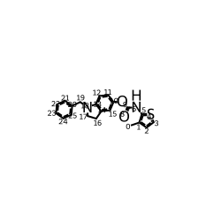 Cc1ccsc1NC(=O)Oc1ccc2c(c1)CCN2Cc1ccccc1